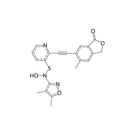 Cc1cc2c(cc1C#Cc1ncccc1SN(O)c1noc(C)c1C)C(=O)OC2